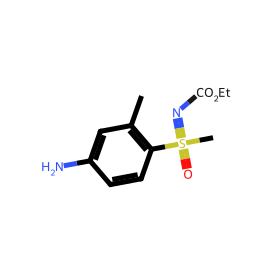 CCOC(=O)N=S(C)(=O)c1ccc(N)cc1C